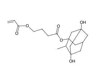 C=CC(=O)OCCCC(=O)OC12CC3CC(O)(CC(O)(C3)C1C)C2